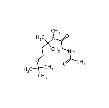 CC(=O)NCC(=O)N(C)C(C)(C)CCOC(C)(C)C